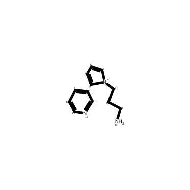 NCCCn1cccc1.c1ccncc1